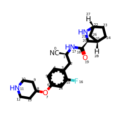 N#C[C@H](Cc1ccc(OC2CCNCC2)cc1F)NC(=O)[C@H]1N[C@@H]2CC[C@H]1C2